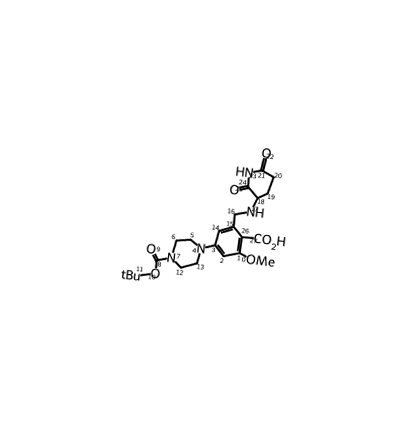 COc1cc(N2CCN(C(=O)OC(C)(C)C)CC2)cc(CNC2CCC(=O)NC2=O)c1C(=O)O